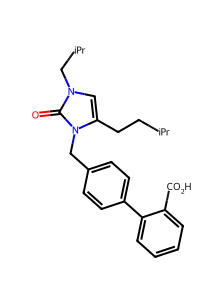 CC(C)CCc1cn(CC(C)C)c(=O)n1Cc1ccc(-c2ccccc2C(=O)O)cc1